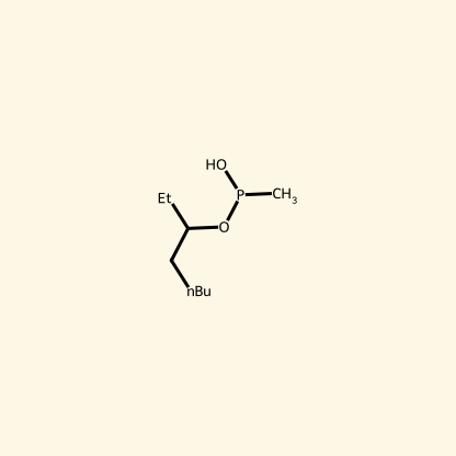 CCCCCC(CC)OP(C)O